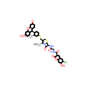 O=C(CNC(=O)c1cc2cc(Cl)c(O)cc2oc1=O)NC1C(=O)N2C(C(=O)O)=C(CSc3ccc(-c4c5ccc(=O)cc-5oc5cc(O)ccc45)c(C(=O)O)c3)CSC12